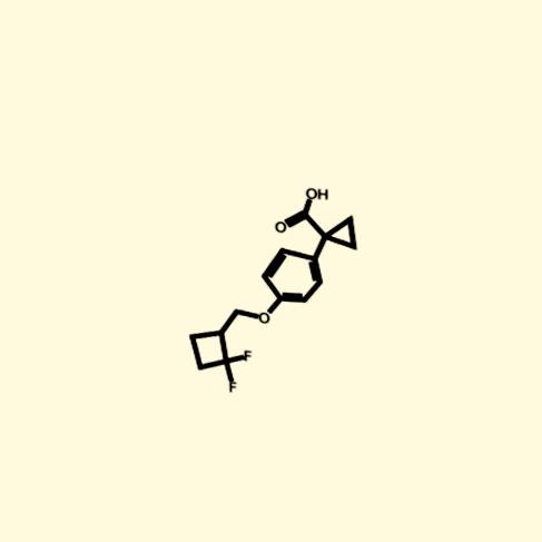 O=C(O)C1(c2ccc(OCC3CCC3(F)F)cc2)CC1